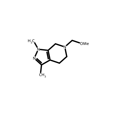 COCN1CCc2c(C)nn(C)c2C1